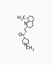 Cc1cccc2ccc(/C=C/C(=O)c3cc[n+](C)cc3)nc12